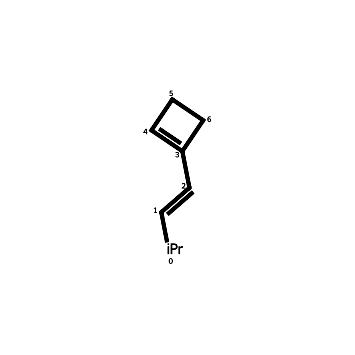 CC(C)C=CC1=CCC1